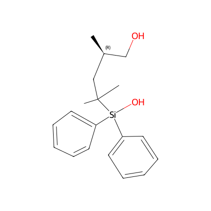 C[C@@H](CO)CC(C)(C)[Si](O)(c1ccccc1)c1ccccc1